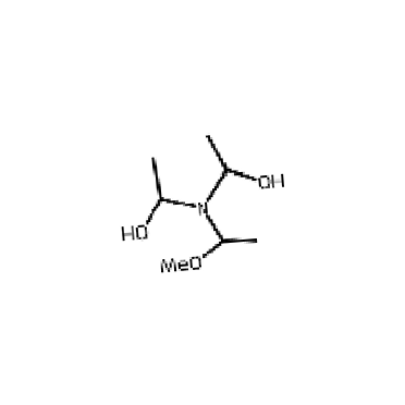 COC(C)N(C(C)O)C(C)O